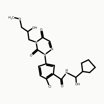 COCC(O)Cn1c(=O)cnn(-c2ccc(Cl)c(C(=O)NC(O)C3CCCC3)c2)c1=O